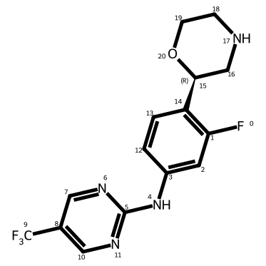 Fc1cc(Nc2ncc(C(F)(F)F)cn2)ccc1[C@@H]1CNCCO1